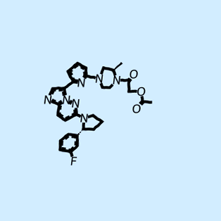 CC(=O)OCC(=O)N1CCN(c2cccc(-c3cnc4ccc(N5CCC[C@@H]5c5cccc(F)c5)nn34)n2)C[C@H]1C